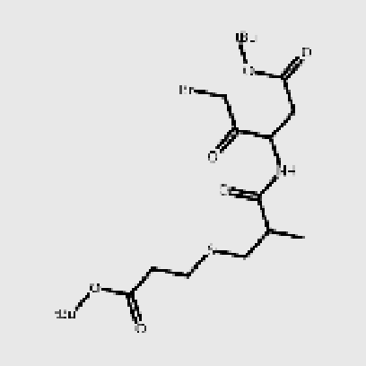 CC(CSCCC(=O)OC(C)(C)C)C(=O)NC(CC(=O)OC(C)(C)C)C(=O)CBr